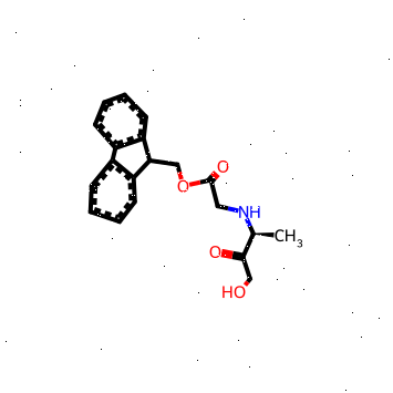 C[C@H](NCC(=O)OCC1c2ccccc2-c2ccccc21)C(=O)CO